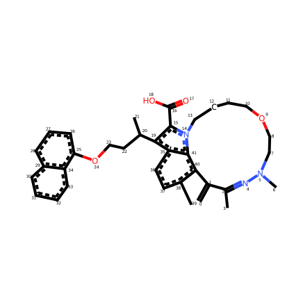 C=C1/C(C)=N\N(C)CCOCCCCn2c(C(=O)O)c(C(C)CCOc3cccc4ccccc34)c3ccc(C)c1c32